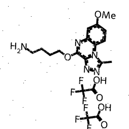 COc1ccc2c(c1)nc(OCCCCN)c1nnc(C)n12.O=C(O)C(F)(F)F.O=C(O)C(F)(F)F